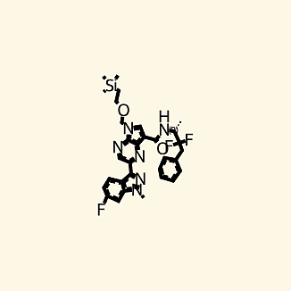 C[C@@H](NC(=O)c1cn(COCC[Si](C)(C)C)c2ncc(-c3nn(C)c4cc(F)ccc34)nc12)C(F)(F)Cc1ccccc1